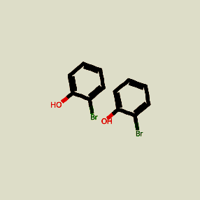 Oc1ccccc1Br.Oc1ccccc1Br